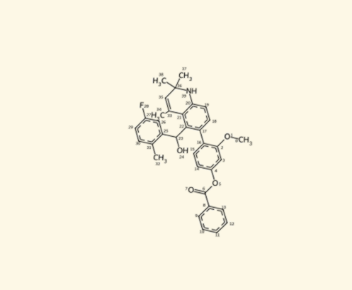 COc1cc(OC(=O)c2ccccc2)ccc1-c1ccc2c(c1C(O)c1cc(F)ccc1C)C(C)=CC(C)(C)N2